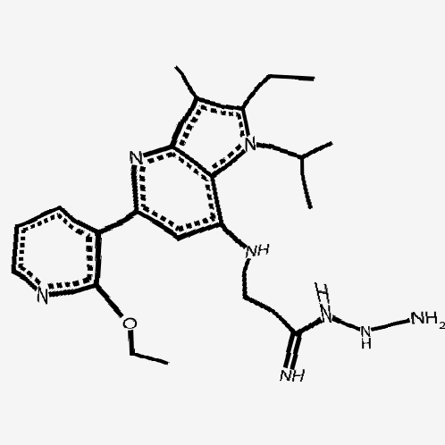 CCOc1ncccc1-c1cc(NCC(=N)NNN)c2c(n1)c(C)c(CC)n2C(C)C